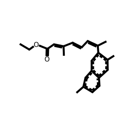 CCOC(=O)/C=C(C)/C=C/C=C(/C)c1cc2cc(C)ccc2cc1C